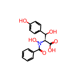 O=C(O)[C@H](C(O)c1ccc(O)cc1)N(O)C(=O)c1ccccc1